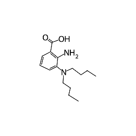 CCCCN(CCCC)c1cccc(C(=O)O)c1N